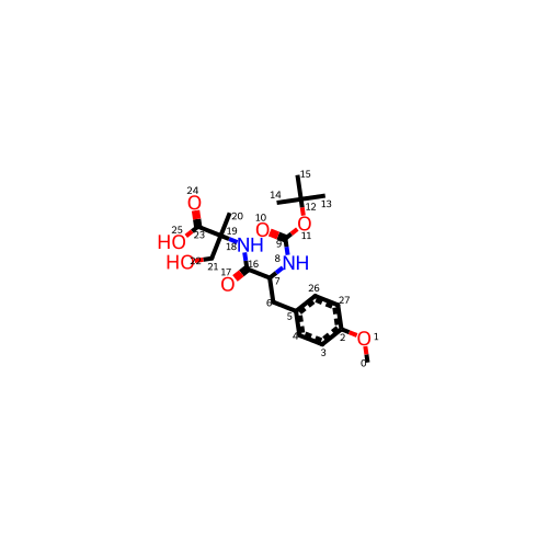 COc1ccc(CC(NC(=O)OC(C)(C)C)C(=O)NC(C)(CO)C(=O)O)cc1